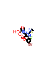 COC(=O)C1=C(CN2CCOC[C@H]2C(=O)O)NC(c2nccs2)=N[C@H]1c1ccc(Br)cc1F